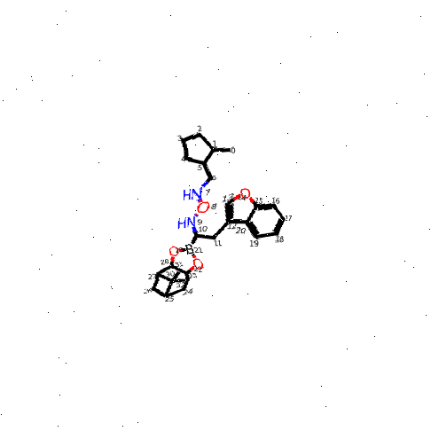 CC1CCCC1CNONC(Cc1coc2ccccc12)B1OC2CC3CC(C2O1)C3(C)C